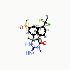 CN1C(=N)N[C@](C)(c2cccc([S+](C)[O-])c2)[C@@H](c2ccc(C(C)(F)F)cc2)C1=O